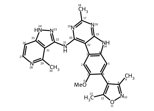 COc1cc2c(cc1-c1c(C)noc1C)[nH]c1nc(C)nc(Nc3n[nH]c4ccnc(C)c34)c12